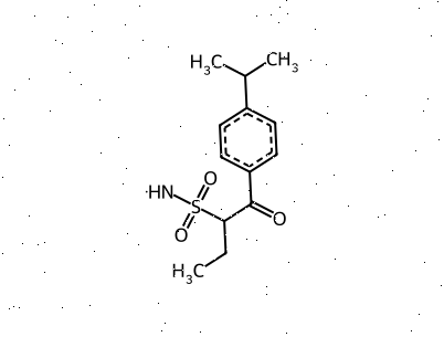 CCC(C(=O)c1ccc(C(C)C)cc1)S([NH])(=O)=O